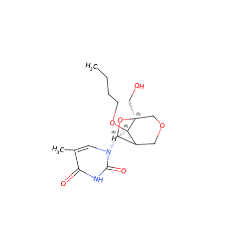 CCCCO[C@@H]1C2COC[C@]1(CO)O[C@H]2n1cc(C)c(=O)[nH]c1=O